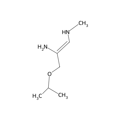 CN/C=C(\N)COC(C)C